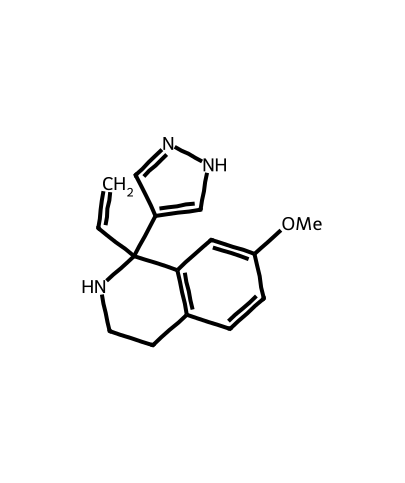 C=CC1(c2cn[nH]c2)NCCc2ccc(OC)cc21